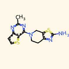 Cc1nc(N2CCc3nc(N)sc3C2)c2sccc2n1